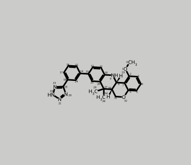 COc1cccc2c1[C@H]1Nc3ccc(-c4cccc(-c5nn[nH]n5)c4)cc3C(C)(C)[C@H]1CO2